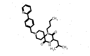 CCCCN1C(=O)C(CC(C)C)NC(=O)C12CCN(Cc1ccc(-c3ccccn3)cc1)CC2